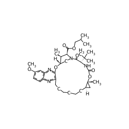 COc1ccc2nc3c(nc2c1)O[C@H]1CN(C(=O)[C@H](C(C)(C)C)NC(=O)O[C@]2(C)C[C@H]2CCCCCC3)[C@H](C(=O)OCC(C)C)[C@@H]1C